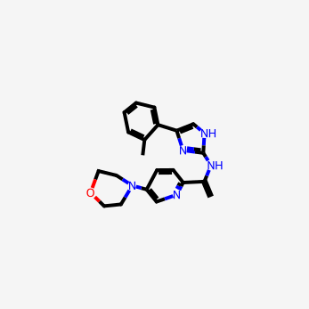 C=C(Nc1nc(-c2ccccc2C)c[nH]1)c1ccc(N2CCOCC2)cn1